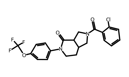 O=C(c1ccccc1Cl)N1CC2CCN(c3ccc(OC(F)(F)F)cc3)C(=O)C2C1